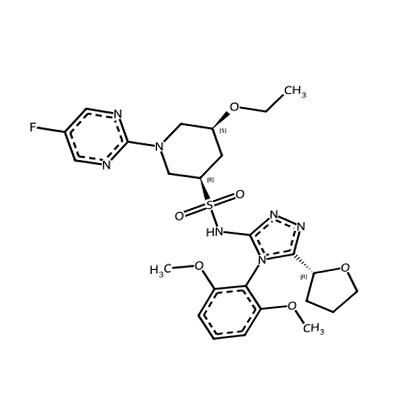 CCO[C@H]1C[C@@H](S(=O)(=O)Nc2nnc([C@H]3CCCO3)n2-c2c(OC)cccc2OC)CN(c2ncc(F)cn2)C1